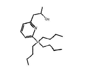 CCC[CH2][Sn]([CH2]CCC)([CH2]CCC)[c]1cccc(CC(C)O)n1